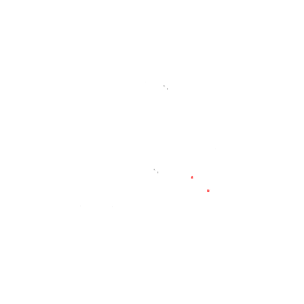 c1ccc(-c2cccc(N(c3ccc4sc5ccccc5c4c3)c3cc4oc(-c5ccccc5)nc4c4ccc5ccccc5c34)c2)cc1